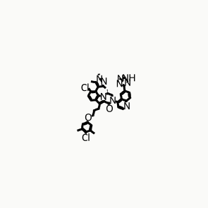 Cc1cc(OCCCc2c3n(c4c(-c5c(C)nn(C)c5C)c(Cl)ccc24)[C@H](C)CN(c2ccnc4ccc(-c5nn[nH]n5)cc24)C3=O)cc(C)c1Cl